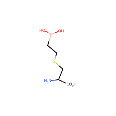 NC(CSCCB(O)O)C(=O)O